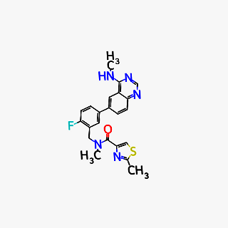 CNc1ncnc2ccc(-c3ccc(F)c(CN(C)C(=O)c4csc(C)n4)c3)cc12